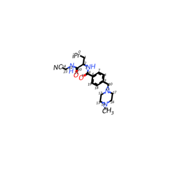 CC(C)CC(NC(=O)c1ccc(CN2CCN(C)CC2)cc1)C(=O)NCC#N